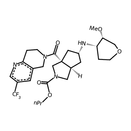 CCCOC(=O)N1C[C@@H]2C[C@@H](N[C@H]3CCOC[C@H]3OC)C[C@]2(C(=O)N2CCc3ncc(C(F)(F)F)cc3C2)C1